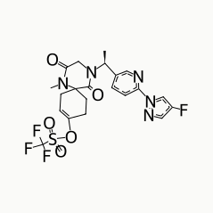 C[C@@H](c1ccc(-n2cc(F)cn2)nc1)N1CC(=O)N(C)C2(CC=C(OS(=O)(=O)C(F)(F)F)CC2)C1=O